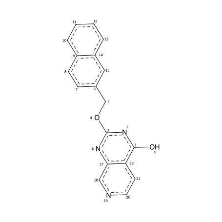 Oc1nc(OCc2ccc3ccccc3c2)nc2cnccc12